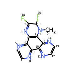 CN1c2c(c3nccnc3c3nccnc23)N=C(F)C1F